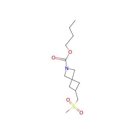 CCCCOC(=O)N1CC2(CC(CS(C)(=O)=O)C2)C1